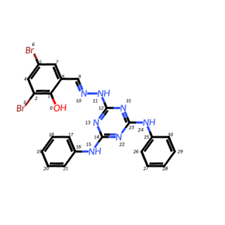 Oc1c(Br)cc(Br)cc1/C=N/Nc1nc(Nc2ccccc2)nc(Nc2ccccc2)n1